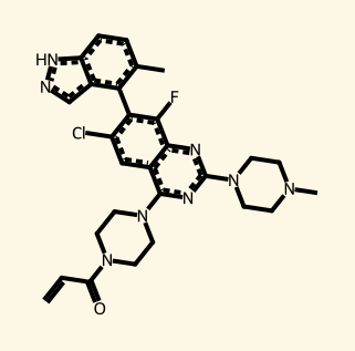 C=CC(=O)N1CCN(c2nc(N3CCN(C)CC3)nc3c(F)c(-c4c(C)ccc5[nH]ncc45)c(Cl)cc23)CC1